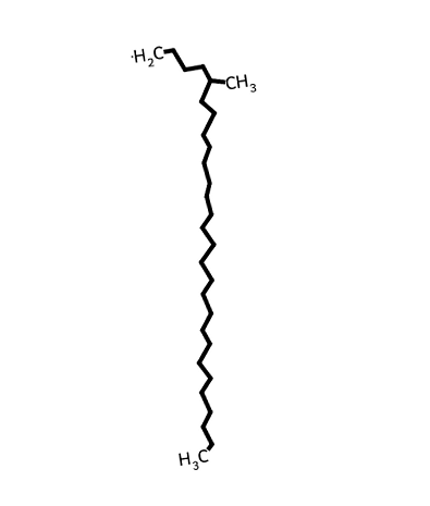 [CH2]CCCC(C)CCCCCCCCCCCCCCCCCCCCCCC